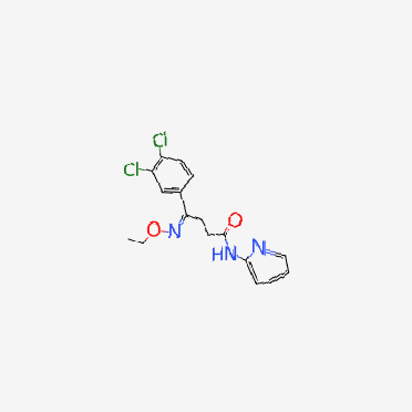 CCON=C(CCC(=O)Nc1ccccn1)c1ccc(Cl)c(Cl)c1